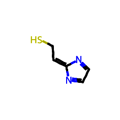 SCC=C1N=CC=N1